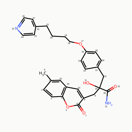 Cc1ccc2oc(=O)c(CC(O)(Cc3ccc(OCCCCc4ccncc4)cc3)C(N)=O)cc2c1